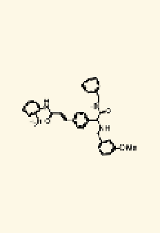 COc1cccc(CNC(C(=O)NCc2ccccc2)c2ccc(C=CC(=O)Nc3ccccc3N)cc2)c1